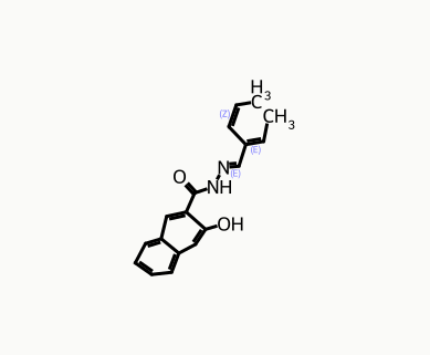 C\C=C/C(/C=N/NC(=O)c1cc2ccccc2cc1O)=C\C